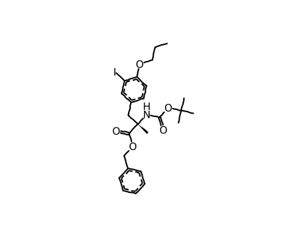 CCCOc1ccc(C[C@](C)(NC(=O)OC(C)(C)C)C(=O)OCc2ccccc2)cc1I